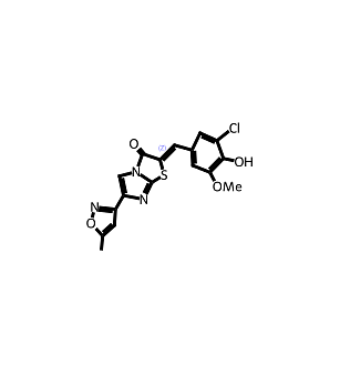 COc1cc(/C=c2\sc3nc(-c4cc(C)on4)cn3c2=O)cc(Cl)c1O